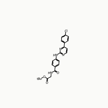 CC(C)(C)OC(=O)CNC(=O)c1ccc(Nc2nccc(-c3ccc(Cl)cc3)n2)cc1